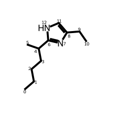 CCCCC(C)c1nc(CC)c[nH]1